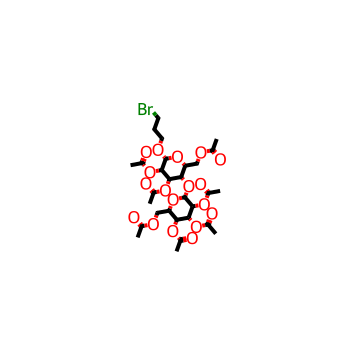 CC(=O)OCC1OC(OC2C(COC(C)=O)OC(OCCCBr)C(OC(C)=O)C2OC(C)=O)C(OC(C)=O)C(OC(C)=O)C1OC(C)=O